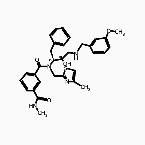 CNC(=O)c1cccc(C(=O)N(Cc2nc(C)cs2)[C@@H](Cc2ccccc2)[C@H](O)CNCc2cccc(OC)c2)c1